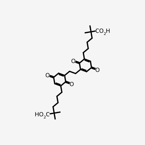 CC(C)(CCCCC1=CC(=O)C=C(CCC2=CC(=O)C=C(CCCCC(C)(C)C(=O)O)C2=O)C1=O)C(=O)O